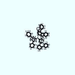 c1ccc(-c2nc(Cc3cc(-c4ccccc4-c4ccccc4)cnc3-n3c4ccccc4c4c5c(ccc43)oc3ccccc35)nc(-c3ccccc3)n2)cc1